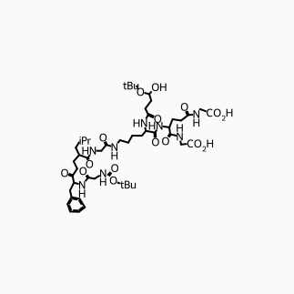 CC(C)CC(CCC(=O)C(Cc1ccccc1)NC(=O)CNC(=O)OC(C)(C)C)C(=O)NCC(=O)NCCCCC(NC(=O)CCC(O)OC(C)(C)C)C(=O)NC(CCC(=O)NCC(=O)O)C(=O)NCC(=O)O